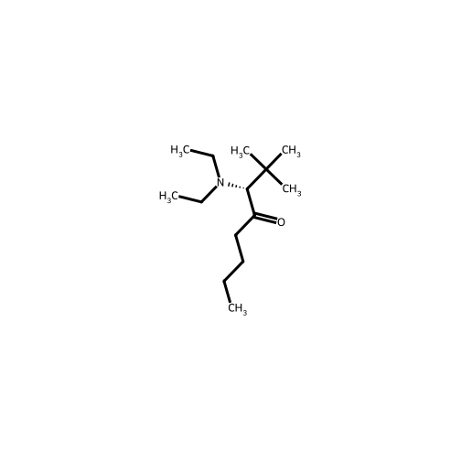 CCCCC(=O)[C@H](N(CC)CC)C(C)(C)C